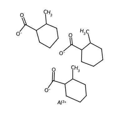 CC1CCCCC1C(=O)[O-].CC1CCCCC1C(=O)[O-].CC1CCCCC1C(=O)[O-].[Al+3]